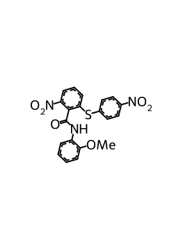 COc1ccccc1NC(=O)c1c(Sc2ccc([N+](=O)[O-])cc2)cccc1[N+](=O)[O-]